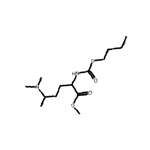 CCCCOC(=O)NC(CCC(C)N(C)C)C(=O)OC